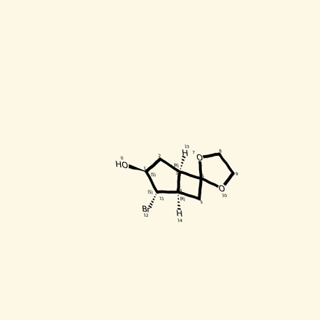 O[C@H]1C[C@@H]2[C@@H](CC23OCCO3)[C@@H]1Br